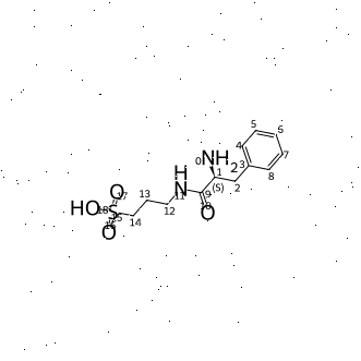 N[C@@H](Cc1ccccc1)C(=O)NCCCS(=O)(=O)O